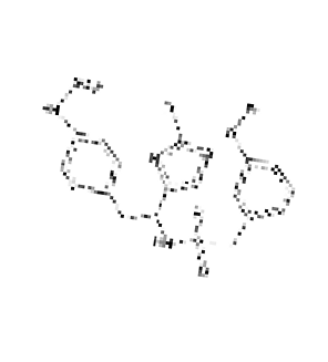 CCOc1cccc(CS(=O)(=O)NC(Cc2ccc(NS(=O)(=O)O)cc2)c2csc(CC)n2)c1